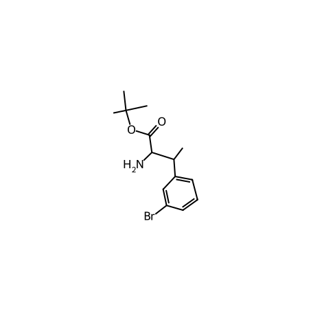 CC(c1cccc(Br)c1)C(N)C(=O)OC(C)(C)C